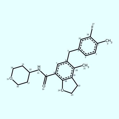 Cc1ccc(Cc2cc(C(=O)NC3CCOCC3)c3c(c2C)CCO3)cc1F